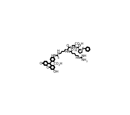 N=C(N)NCCCCC(=O)N[C@@H](CCCCNC(=S)Nc1ccc(-c2c3ccc(=O)cc-3oc3cc(O)ccc23)c(C(=O)O)c1)C(=O)NC[C@H](NC(=O)[C@@H]1CCCN1Sc1ccccc1)C(=O)O